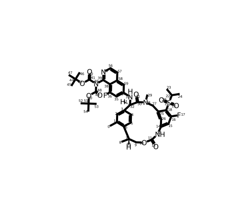 Cc1cc2ccc1[C@@H](C)COC(=O)Nc1cc(F)c(S(=O)(=O)C(C)C)c(c1)CN(C)C(=O)[C@@H]2Nc1cc(F)c2c(N(C(=O)OC(C)(C)C)C(=O)OC(C)(C)C)nccc2c1